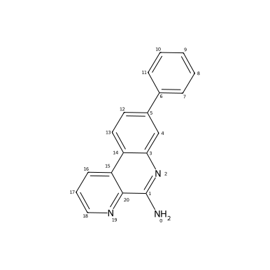 Nc1nc2cc(-c3ccccc3)ccc2c2cccnc12